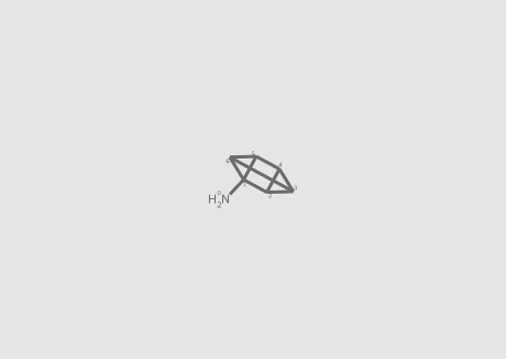 NC12C3C4C3C1C42